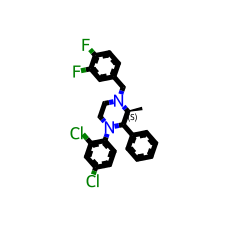 C[C@H]1C(c2ccccc2)N(c2ccc(Cl)cc2Cl)CCN1Cc1ccc(F)c(F)c1